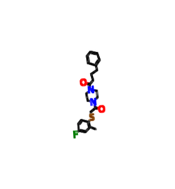 Cc1cc(F)ccc1SCC(=O)N1CCN(C(=O)CCCc2ccccc2)CC1